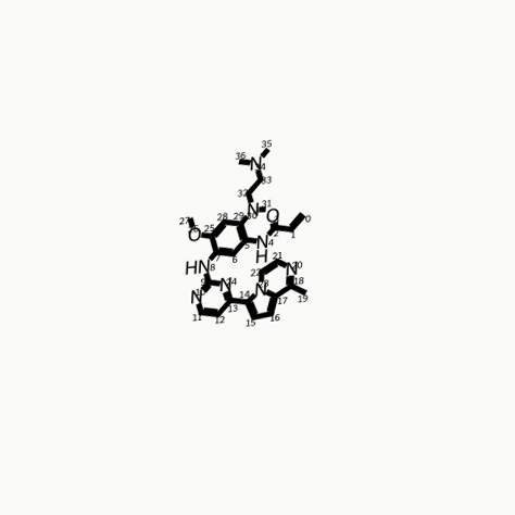 C=CC(=O)Nc1cc(Nc2nccc(-c3ccc4c(C)nccn34)n2)c(OC)cc1N(C)CCN(C)C